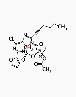 CCCCC#Cc1nc2c(Cl)nc(-c3ccco3)nc2n1[C@@H]1OC[C@@H](OC(C)=O)[C@H]1OC(C)=O